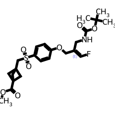 COC(=O)C12CC(CS(=O)(=O)c3ccc(OC/C(=C/F)CNC(=O)OC(C)(C)C)cc3)(C1)C2